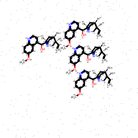 C=C[C@H]1C[N@]2CC[C@H]1C[C@@H]2[C@@H](O)c1ccnc2ccc(OC)cc12.C=C[C@H]1C[N@]2CC[C@H]1C[C@@H]2[C@@H](O)c1ccnc2ccc(OC)cc12.C=C[C@H]1C[N@]2CC[C@H]1C[C@@H]2[C@@H](O)c1ccnc2ccc(OC)cc12.C=C[C@H]1C[N@]2CC[C@H]1C[C@@H]2[C@@H](O)c1ccnc2ccc(OC)cc12